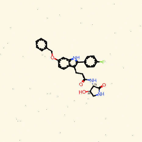 O=C(CCc1c(-c2ccc(F)cc2)[nH]c2cc(OCc3ccccc3)ccc12)N[C@@H]1C(=O)NC[C@H]1O